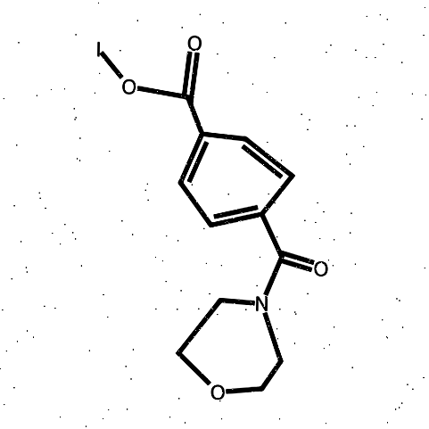 O=C(OI)c1ccc(C(=O)N2CCOCC2)cc1